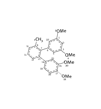 COc1cc(OC)cc(-c2c(C)[c]ccc2-c2ccc(OC)c(OC)c2)c1